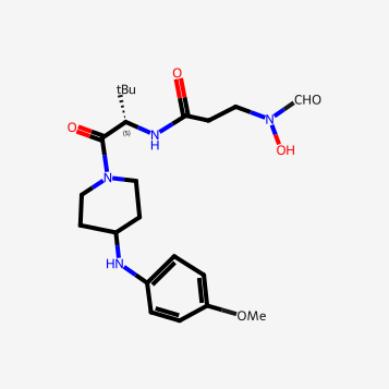 COc1ccc(NC2CCN(C(=O)[C@@H](NC(=O)CCN(O)C=O)C(C)(C)C)CC2)cc1